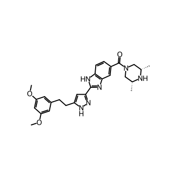 COc1cc(CCc2cc(-c3nc4cc(C(=O)N5C[C@@H](C)N[C@@H](C)C5)ccc4[nH]3)n[nH]2)cc(OC)c1